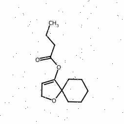 CCCC(=O)OC1=CCOC12CCCCC2